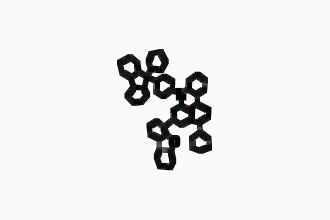 c1ccc(-c2ccc(-c3ccccc3N(c3ccc(C4(c5ccccc5)c5ccccc5-c5ccccc54)cc3)c3cccc(-c4cccc5c4oc4ccccc45)c3)cc2)cc1